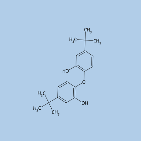 CC(C)(C)c1ccc(Oc2ccc(C(C)(C)C)cc2O)c(O)c1